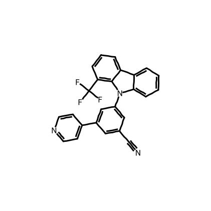 N#Cc1cc(-c2ccncc2)cc(-n2c3ccccc3c3cccc(C(F)(F)F)c32)c1